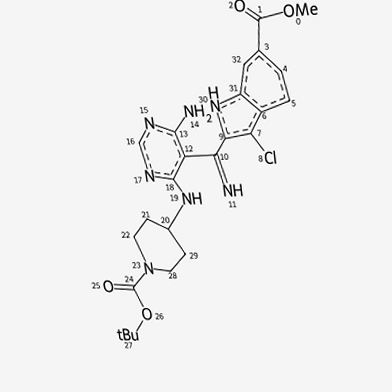 COC(=O)c1ccc2c(Cl)c(C(=N)c3c(N)ncnc3NC3CCN(C(=O)OC(C)(C)C)CC3)[nH]c2c1